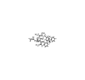 CC[C@H](C)CC(=O)N(C[C@H](C)Cc1cccc(N(CC(C)C)S(=O)(=O)c2ccccc2)c1O)NC(=O)CNC1CC1